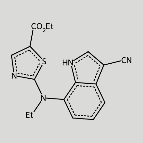 CCOC(=O)c1cnc(N(CC)c2cccc3c(C#N)c[nH]c23)s1